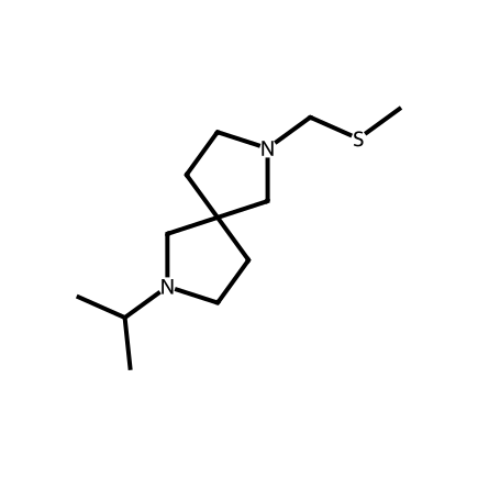 CSCN1CCC2(CCN(C(C)C)C2)C1